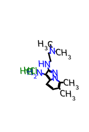 Cc1ccc2c(N)c(NCCN(C)C)nn2c1C.Cl.Cl